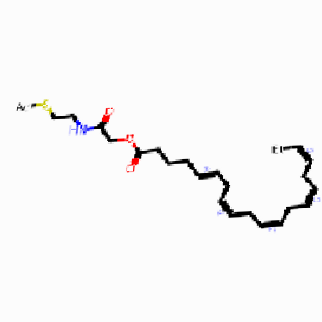 CC/C=C\C/C=C\C/C=C\C/C=C\C/C=C/CCCC(=O)OCC(=O)NCCSC(C)=O